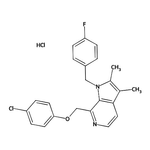 Cc1c(C)n(Cc2ccc(F)cc2)c2c(COc3ccc(Cl)cc3)nccc12.Cl